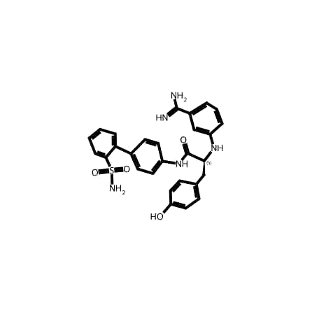 N=C(N)c1cccc(N[C@@H](Cc2ccc(O)cc2)C(=O)Nc2ccc(-c3ccccc3S(N)(=O)=O)cc2)c1